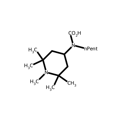 CCCCCN(C(=O)O)C1CC(C)(C)N(C)C(C)(C)C1